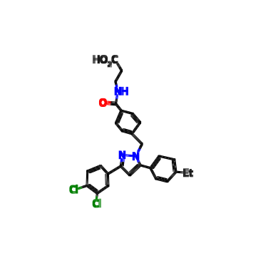 CCc1ccc(-c2cc(-c3ccc(Cl)c(Cl)c3)nn2Cc2ccc(C(=O)NCCC(=O)O)cc2)cc1